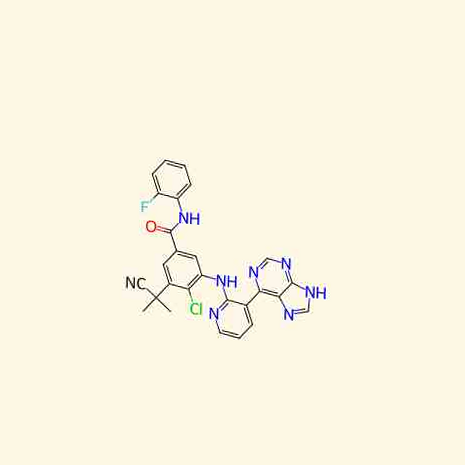 CC(C)(C#N)c1cc(C(=O)Nc2ccccc2F)cc(Nc2ncccc2-c2ncnc3[nH]cnc23)c1Cl